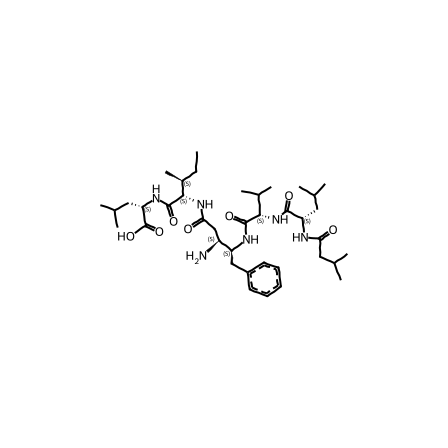 CC[C@H](C)[C@H](NC(=O)C[C@H](N)[C@H](Cc1ccccc1)NC(=O)[C@@H](NC(=O)[C@H](CC(C)C)NC(=O)CC(C)C)C(C)C)C(=O)N[C@@H](CC(C)C)C(=O)O